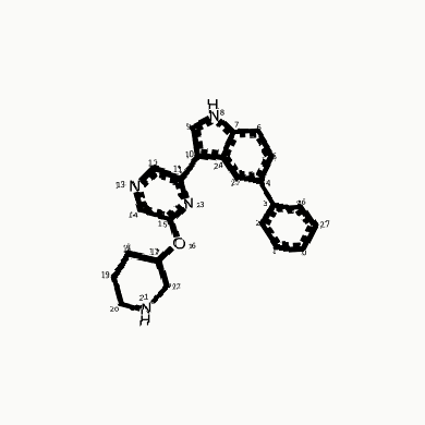 c1ccc(-c2ccc3[nH]cc(-c4cncc(OC5CCCNC5)n4)c3c2)cc1